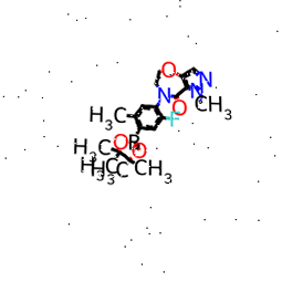 Cc1cc(N2CCOc3cnn(C)c3C2=O)c(F)cc1B1OC(C)(C)C(C)(C)O1